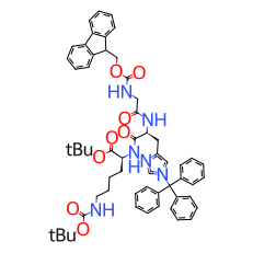 CC(C)(C)OC(=O)NCCCC[C@H](NC(=O)[C@H](Cc1cn(C(c2ccccc2)(c2ccccc2)c2ccccc2)cn1)NC(=O)CNC(=O)OCC1c2ccccc2-c2ccccc21)C(=O)OC(C)(C)C